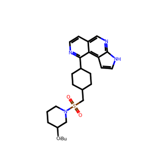 CC(C)COC1CCCN(S(=O)(=O)CC2CCC(c3nccc4cnc5[nH]ccc5c34)CC2)C1